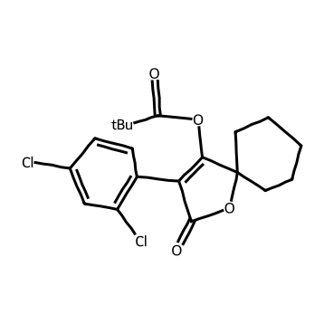 CC(C)(C)C(=O)OC1=C(c2ccc(Cl)cc2Cl)C(=O)OC12CCCCC2